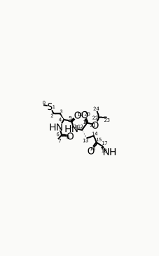 CSCC[C@H](NC(C)=O)C(=O)N[C@@H](CCC(=O)C=N)C(=O)OC(C)C